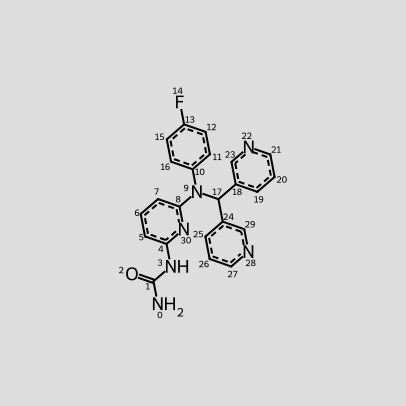 NC(=O)Nc1cccc(N(c2ccc(F)cc2)C(c2cccnc2)c2cccnc2)n1